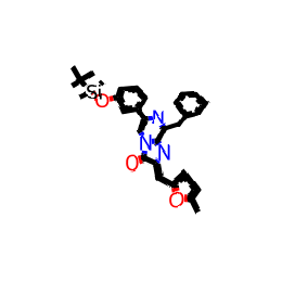 Cc1ccc(/C=C2\N=C3C(Cc4ccccc4)=NC(c4cccc(O[Si](C)(C)C(C)(C)C)c4)=CN3C2=O)o1